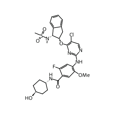 COc1cc(C(=O)N[C@H]2CC[C@H](O)CC2)c(F)cc1Nc1ncc(Cl)c(O[C@@H]2Cc3ccccc3[C@H]2N(C)S(C)(=O)=O)n1